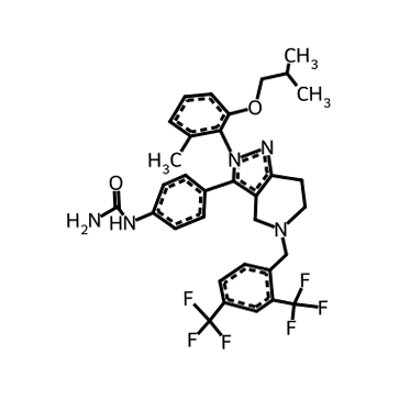 Cc1cccc(OCC(C)C)c1-n1nc2c(c1-c1ccc(NC(N)=O)cc1)CN(Cc1ccc(C(F)(F)F)cc1C(F)(F)F)CC2